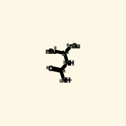 CCCCN(CCCC)NC([NH])=O